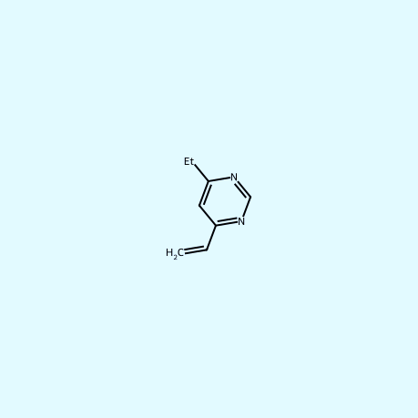 C=Cc1cc(CC)ncn1